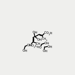 CC(=CC(O)(O)C=C(C)C(=O)O)C(=O)O.OCO.OCO.OCO